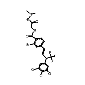 CN(C)NC(=O)CNC(=O)c1ccc(/C=C/C(c2cc(Cl)c(Cl)c(Cl)c2)C(F)(F)F)cc1Br